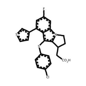 O=C(O)CC1CCn2c1c(Sc1ccc(Cl)cc1)c1c(-c3ccsc3)cc(F)cc12